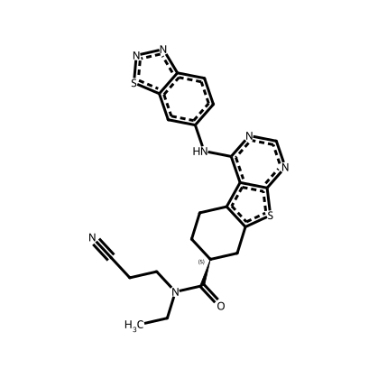 CCN(CCC#N)C(=O)[C@H]1CCc2c(sc3ncnc(Nc4ccc5nnsc5c4)c23)C1